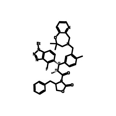 CCn1nnc2c(F)c([C@H](c3ccc(C)c(CN4Cc5ncccc5OC(C)(C)C4)c3)[C@@H](C)C(=O)N3C(=O)OCC3Cc3ccccc3)ccc21